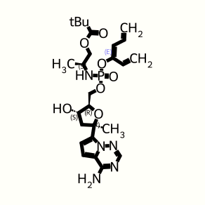 C=C/C=C(\C=C)OP(=O)(N[C@@H](C)COC(=O)C(C)(C)C)OC[C@H]1O[C@@](C)(c2ccc3c(N)ncnn23)C[C@@H]1O